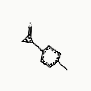 Cc1ccc(-c2cc2=S)cc1